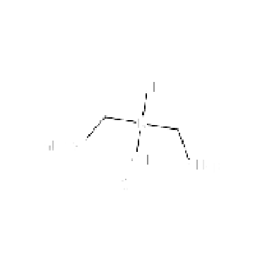 CCCCCCCC[N+](C)(C)CCCCCCCC.[Cl-]